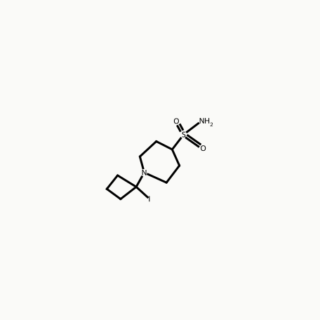 NS(=O)(=O)C1CCN(C2(I)CCC2)CC1